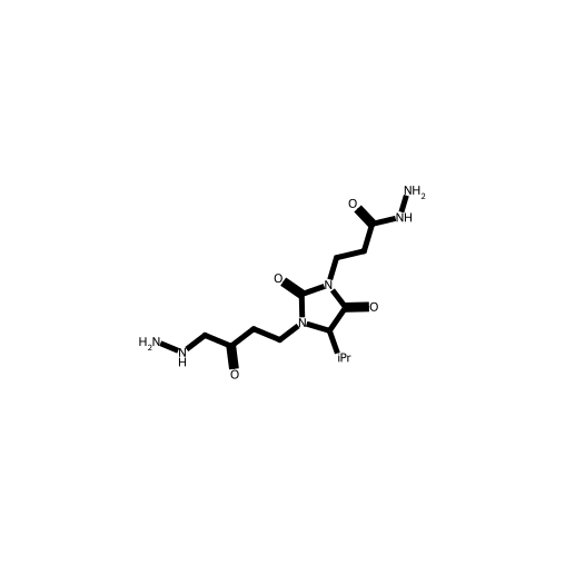 CC(C)C1C(=O)N(CCC(=O)NN)C(=O)N1CCC(=O)CNN